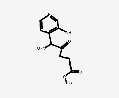 CSC(C(=O)CCC(=O)OC(C)(C)C)c1ccncc1N